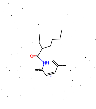 C=C(C)/C=C\C(=C)NC(=O)C(CC)CCCC